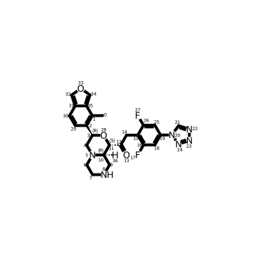 Cc1c([C@@H]2CN3CCNC[C@@H]3[C@@H](C(=O)Cc3c(F)cc(-n4cnnn4)cc3F)O2)ccc2cocc12